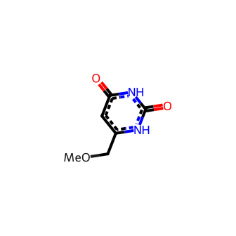 COCc1cc(=O)[nH]c(=O)[nH]1